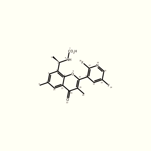 Cc1cc([C@@H](C)NC(=O)O)c2oc(-c3cc(F)cnc3F)c(C)c(=O)c2c1